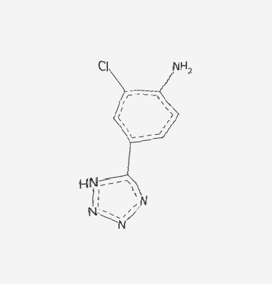 Nc1ccc(-c2nnn[nH]2)cc1Cl